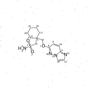 NS(=O)(=O)CC1(COc2ccc3nccn3n2)CCCCC1